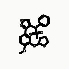 COc1ccc(-c2n[nH]cc2C(c2ccccc2)S(C)(=O)=O)cc1OC1CCCO1